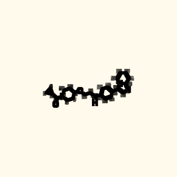 O=C(C1CC1)N1CCC(OCCNc2ccc(-c3cnc4ccccn34)cc2)CC1